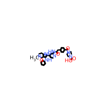 CN1CCc2[nH]c(-c3ccnc(NC(=O)Cc4ccc(C(=O)N5CCN(C(=O)O)CC5)cc4)c3)c(Nc3ccccc3)c2C1=O